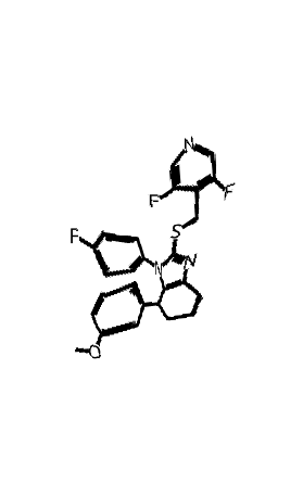 COc1cccc(C2CCCc3nc(SCc4c(F)cncc4F)n(-c4ccc(F)cc4)c32)c1